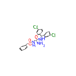 NC(CNC(=O)OCc1ccccc1)C(=O)NC(c1ccc(Cl)cc1)c1ccc(Cl)cc1